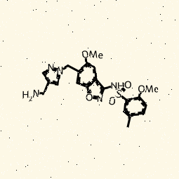 COc1cc2c(NS(=O)(=O)c3cc(C)ccc3OC)noc2cc1Cn1cc(CN)cn1